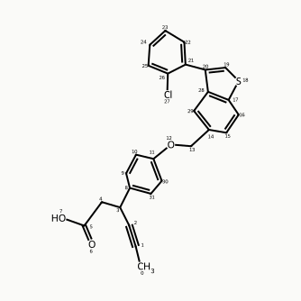 CC#CC(CC(=O)O)c1ccc(OCc2ccc3scc(-c4ccccc4Cl)c3c2)cc1